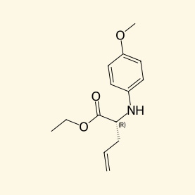 C=CC[C@@H](Nc1ccc(OC)cc1)C(=O)OCC